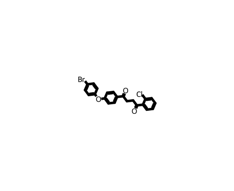 O=C(CCC(=O)c1ccccc1Cl)c1ccc(Oc2ccc(Br)cc2)cc1